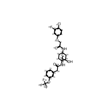 O=C(COc1ccc(Cl)c(F)c1)NC12CCC(NC(=O)Cc3cccc(OC(F)(F)F)c3)(CC1)C(O)C2